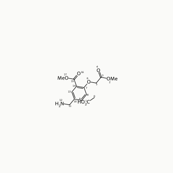 CC(=O)O.COC(=O)COc1ccc(CN)cc1C(=O)OC